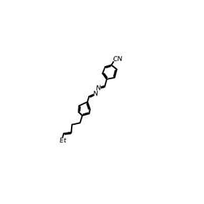 CC/C=C/CCc1ccc(/C=N/N=C/c2ccc(C#N)cc2)cc1